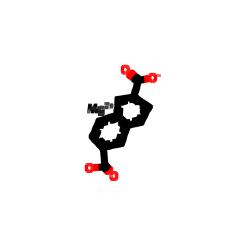 O=C([O-])c1ccc2cc(C(=O)[O-])ccc2c1.[Mg+2]